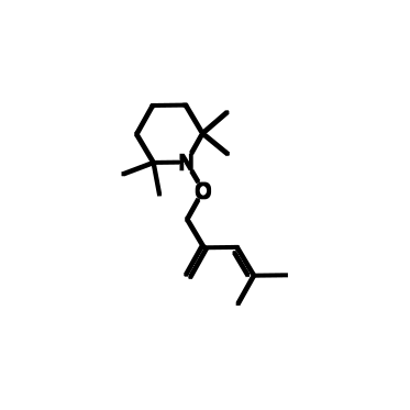 C=C(C=C(C)C)CON1C(C)(C)CCCC1(C)C